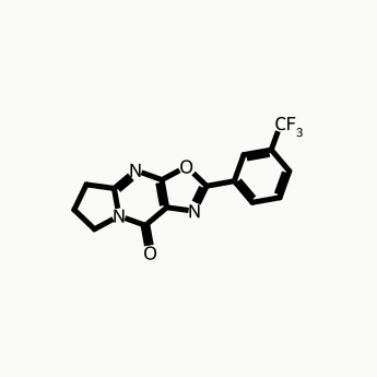 O=c1c2nc(-c3cccc(C(F)(F)F)c3)oc2nc2n1CCC2